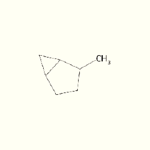 CC1CCC2CC12